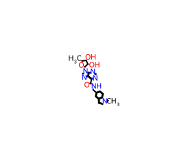 C[C@H]1O[C@@H](n2cnc3c(C(=O)NCc4ccc5c(ccn5C)c4)ncnc32)[C@H](O)[C@@H]1O